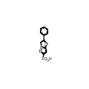 O=C(O)c1cc2n(n1)CC(c1ccccc1)=N2